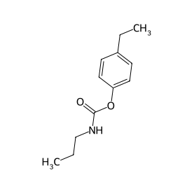 CCCNC(=O)Oc1ccc(CC)cc1